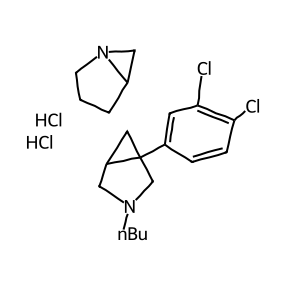 C1CC2CN2C1.CCCCN1CC2CC2(c2ccc(Cl)c(Cl)c2)C1.Cl.Cl